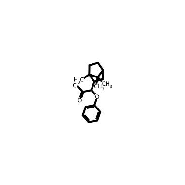 CC1(C)C2CCC1(C)C(C(Oc1ccccc1)C(=O)Cl)C2